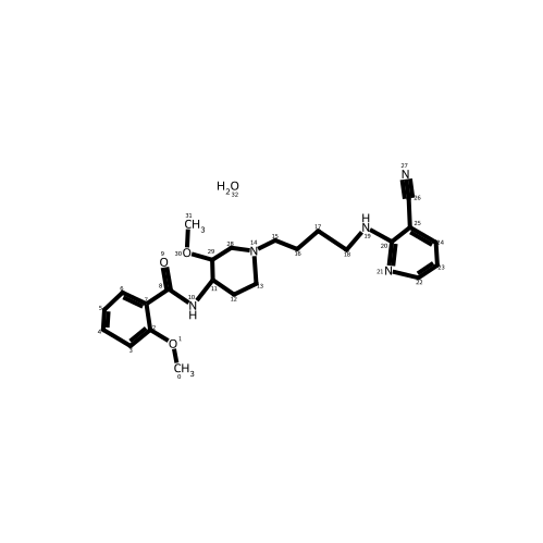 COc1ccccc1C(=O)NC1CCN(CCCCNc2ncccc2C#N)CC1OC.O